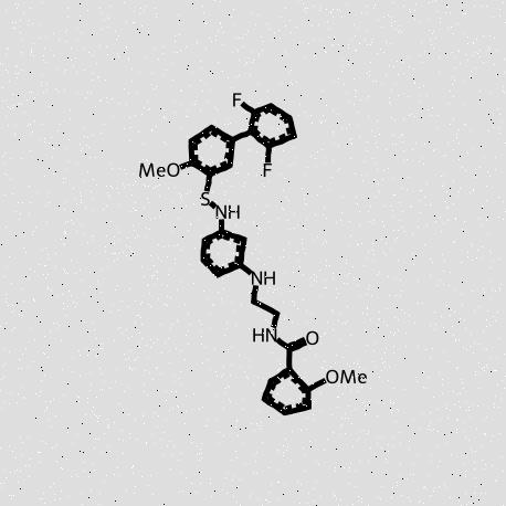 COc1ccc(-c2c(F)cccc2F)cc1SNc1cccc(NCCNC(=O)c2ccccc2OC)c1